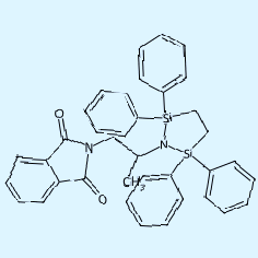 CC(CN1C(=O)c2ccccc2C1=O)N1[Si](c2ccccc2)(c2ccccc2)CC[Si]1(c1ccccc1)c1ccccc1